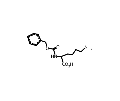 NCCCCC(NC(=O)OCc1ccccc1)C(=O)O